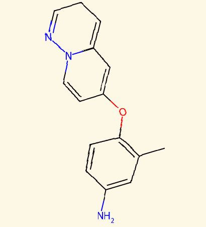 Cc1cc(N)ccc1OC1=CC2=CCC=NN2C=C1